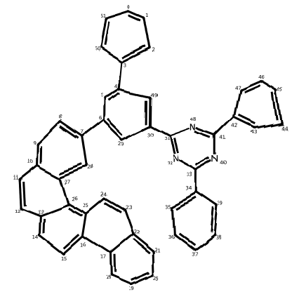 c1ccc(-c2cc(-c3ccc4ccc5ccc6c7ccccc7ccc6c5c4c3)cc(-c3nc(-c4ccccc4)nc(-c4ccccc4)n3)c2)cc1